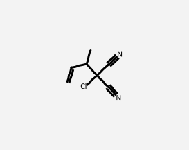 C=CC(C)C(Cl)(C#N)C#N